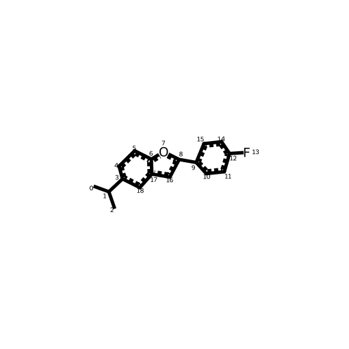 CC(C)c1ccc2oc(-c3ccc(F)cc3)cc2c1